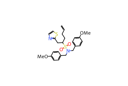 C=CCCC(Cc1nccs1)S(=O)(=O)N(Cc1ccc(OC)cc1)Cc1ccc(OC)cc1